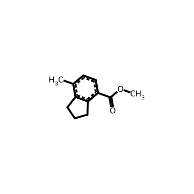 COC(=O)c1ccc(C)c2c1CCC2